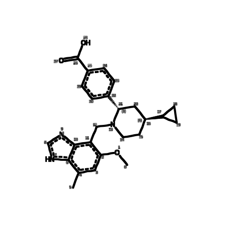 COc1cc(C)c2[nH]cnc2c1CN1CC[C@H](C2CC2)C[C@H]1c1ccc(C(=O)O)cc1